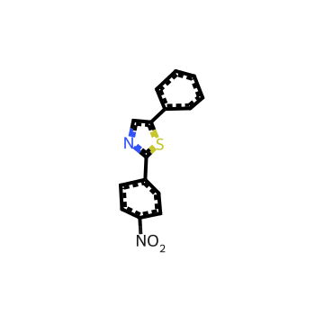 O=[N+]([O-])c1ccc(-c2ncc(-c3ccccc3)s2)cc1